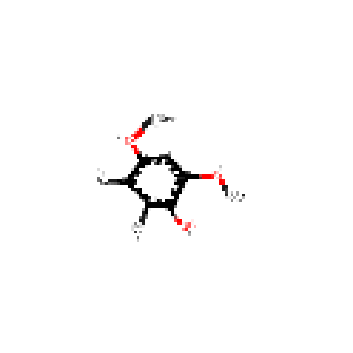 CCCCCCCCCCOc1cc(OC(=O)O)c(O)c(CC)c1CC